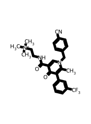 Cc1c(-c2cccc(C(F)(F)F)c2)c(=O)c(C(=O)NCC[N+](C)(C)C)cn1Cc1ccc(C#N)cc1